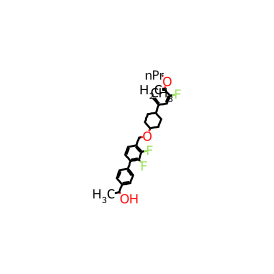 C=C(OCCC)/C(F)=C\C(=C/C)C1CCC(OCc2ccc(-c3ccc(C(C)O)cc3)c(F)c2F)CC1